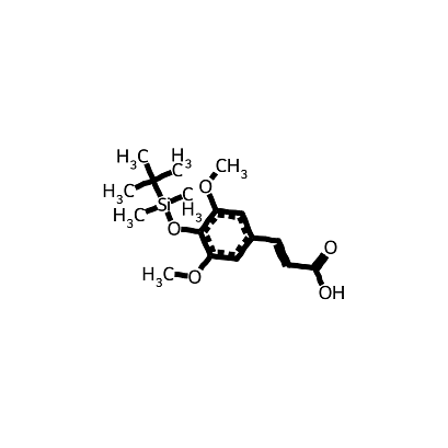 COc1cc(C=CC(=O)O)cc(OC)c1O[Si](C)(C)C(C)(C)C